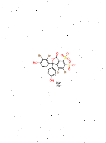 O=C1OC(c2ccc(O)cc2)(c2ccc(O)c(Br)c2Br)c2c(Br)c(Br)c(S(=O)(=O)[O-])c(S(=O)(=O)[O-])c21.[Na+].[Na+]